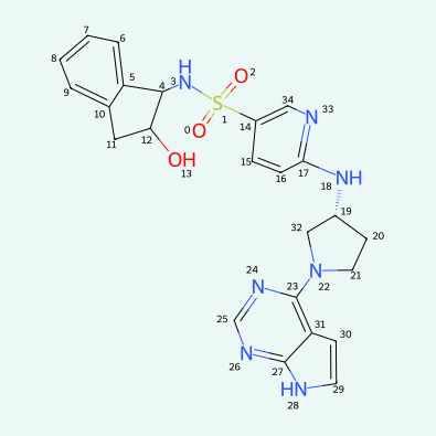 O=S(=O)(NC1c2ccccc2CC1O)c1ccc(N[C@@H]2CCN(c3ncnc4[nH]ccc34)C2)nc1